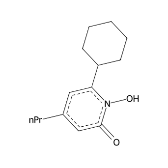 CCCc1cc(C2CCCCC2)n(O)c(=O)c1